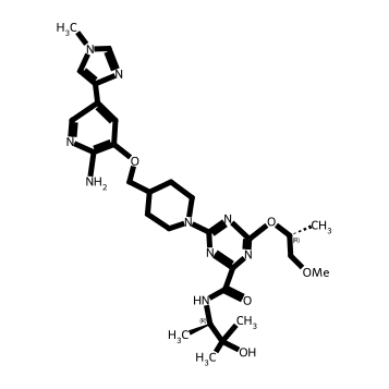 COC[C@@H](C)Oc1nc(C(=O)N[C@H](C)C(C)(C)O)nc(N2CCC(COc3cc(-c4cn(C)cn4)cnc3N)CC2)n1